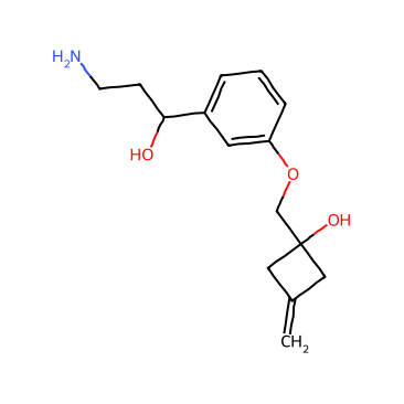 C=C1CC(O)(COc2cccc(C(O)CCN)c2)C1